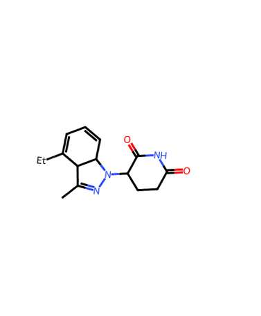 CCC1=CC=CC2C1C(C)=NN2C1CCC(=O)NC1=O